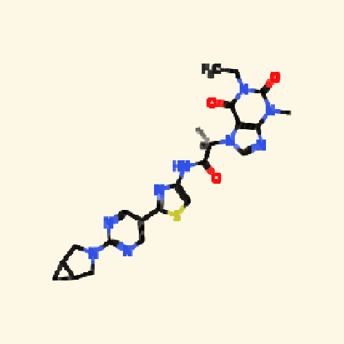 C[C@@H](C(=O)Nc1csc(-c2cnc(N3CC4CC4C3)nc2)n1)n1cnc2c1c(=O)n(CC(F)(F)F)c(=O)n2C